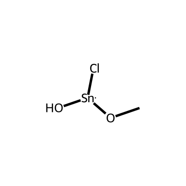 C[O][Sn]([OH])[Cl]